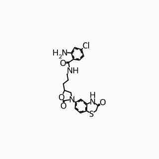 Nc1cc(Cl)ccc1C(=O)NCCCC1CN(c2ccc3c(c2)NC(=O)CS3)C(=O)O1